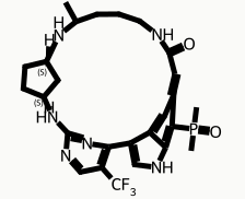 CC1CCCNC(=O)c2ccc3c(c[nH]c3c2P(C)(C)=O)-c2nc(ncc2C(F)(F)F)N[C@H]2CC[C@@H](C2)N1